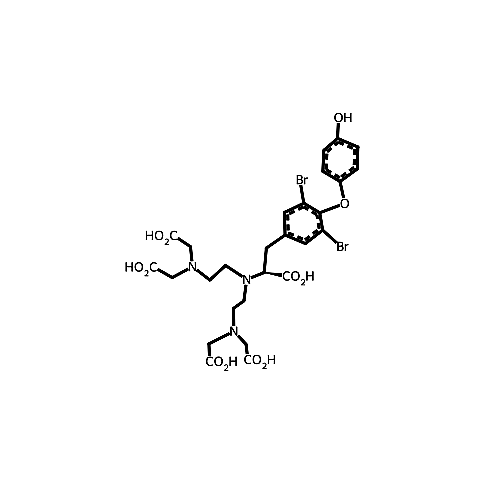 O=C(O)CN(CCN(CCN(CC(=O)O)CC(=O)O)[C@@H](Cc1cc(Br)c(Oc2ccc(O)cc2)c(Br)c1)C(=O)O)CC(=O)O